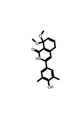 COC1(OC)C=CCc2cc(-c3cc(C)c(O)c(C)c3)[nH]c(=O)c21